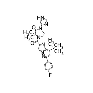 CC(C)(C)c1cc(-c2ccc(F)cc2)nn2cc(C(=O)N3CCN(c4c[nH]cn4)C(=O)C3(C)C)nc12